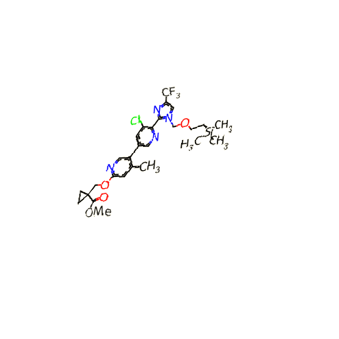 COC(=O)C1(COc2cc(C)c(-c3cnc(-c4nc(C(F)(F)F)cn4COCC[Si](C)(C)C)c(Cl)c3)cn2)CC1